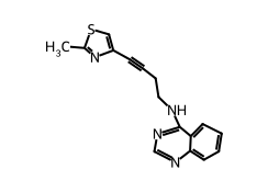 Cc1nc(C#CCCNc2ncnc3ccccc23)cs1